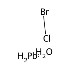 ClBr.O.[PbH2]